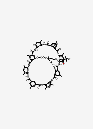 Cc1cc2cc(c1)C(=O)Nc1cc(c(C)cc1C)NC(=O)c1cc(C)cc3c1OCCOC(C)(CCOOCC(=O)C(C)(C)Br)OCCOc1cc(c(C)cc1C(=O)Nc1cc(c(C)cc1C)NC2=O)C(=O)Nc1cc(c(C)cc1C)NC(=O)c1cc(C)cc(c1O)C(=O)Nc1cc(c(C)cc1C)NC3=O